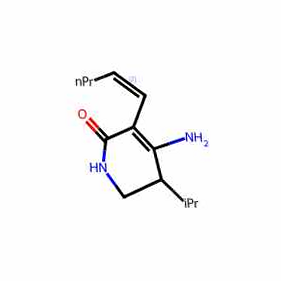 CCC/C=C\C1=C(N)C(C(C)C)CNC1=O